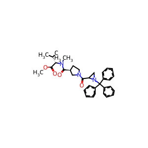 COC(=O)[C@H](C(C)C)N(C)C(=O)[C@H]1CCN(C(=O)C2CN2C(c2ccccc2)(c2ccccc2)c2ccccc2)C1